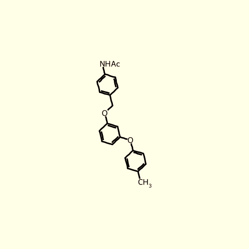 CC(=O)Nc1ccc(COc2cccc(Oc3ccc(C)cc3)c2)cc1